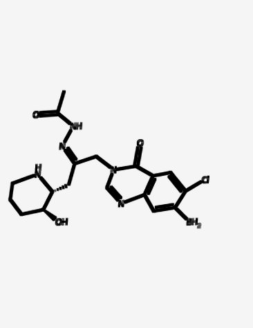 Bc1cc2ncn(C/C(C[C@H]3NCCC[C@@H]3O)=N\NC(C)=O)c(=O)c2cc1Cl